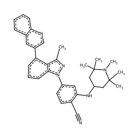 Cc1nn(-c2ccc(C#N)c(NC3CC(C)(C)N(C)C(C)(C)C3)c2)c2cccc(-c3cnc4ccccc4c3)c12